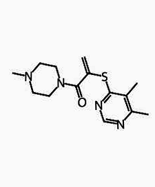 C=C(Sc1ncnc(C)c1C)C(=O)N1CCN(C)CC1